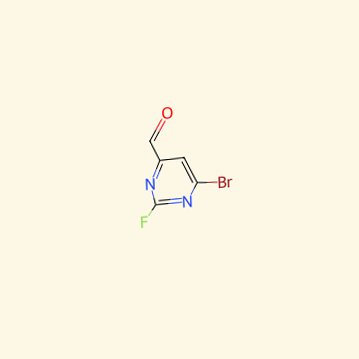 O=Cc1cc(Br)nc(F)n1